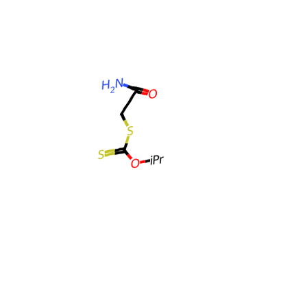 CC(C)OC(=S)SCC(N)=O